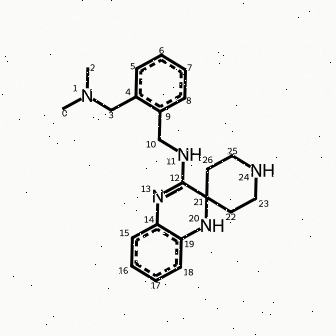 CN(C)Cc1ccccc1CNC1=Nc2ccccc2NC12CCNCC2